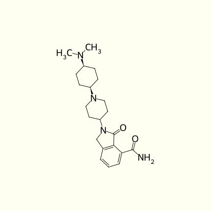 CN(C)[C@H]1CC[C@@H](N2CCC(N3Cc4cccc(C(N)=O)c4C3=O)CC2)CC1